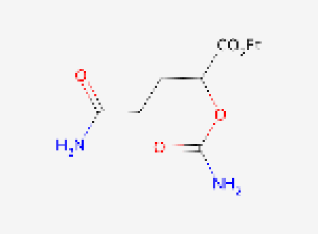 CCOC(=O)C(CCC(N)=O)OC(N)=O